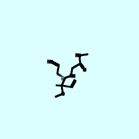 C=CC(C)(OC)[C@H](CC=N)NCC(=O)NC